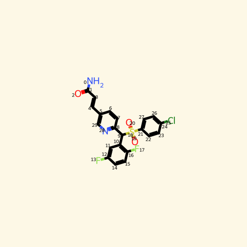 NC(=O)C=Cc1ccc(C(c2cc(F)ccc2F)S(=O)(=O)c2ccc(Cl)cc2)nc1